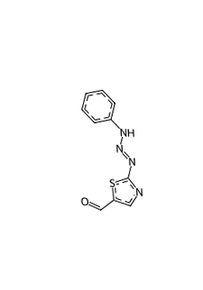 O=Cc1cnc(N=NNc2ccccc2)s1